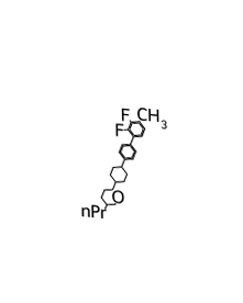 CCCC1CCC(C2CCC(c3ccc(-c4ccc(C)c(F)c4F)cc3)CC2)OC1